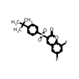 CC(C)(C)c1ccc(S(=O)(=O)c2cc3cc(F)cc(F)c3oc2=O)cc1